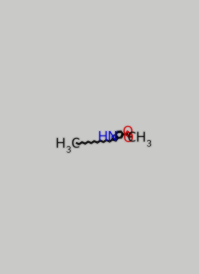 CCCCCCCCCCCCc1cc2cc(C(=O)OC)ccc2[nH]1